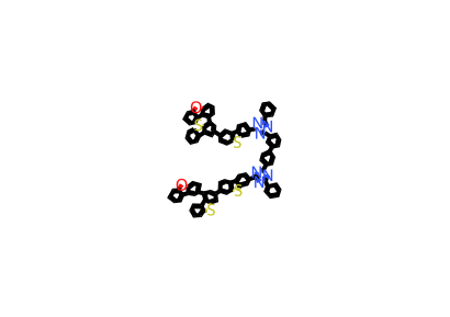 c1ccc(-c2nc(-c3ccc(-c4cccc(-c5nc(-c6ccccc6)nc(-c6ccc7c(c6)sc6ccc(-c8cc(-c9cccc%10oc%11ccccc%11c9%10)c9sc%10ccccc%10c9c8)cc67)n5)c4)cc3)nc(-c3ccc4c(c3)sc3cc(-c5cc(-c6ccc7oc8ccccc8c7c6)c6c(c5)sc5ccccc56)ccc34)n2)cc1